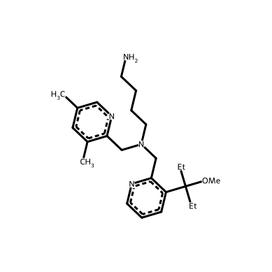 CCC(CC)(OC)c1cccnc1CN(CCCCN)Cc1ncc(C)cc1C